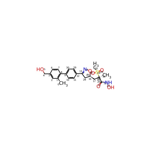 Cc1cc(CO)ccc1-c1ccc(C2=NO[C@@H](C[C@](C)(C(=O)NO)S(C)(=O)=O)C2)cc1